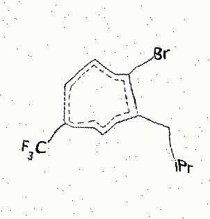 [CH2]C(C)Cc1cc(C(F)(F)F)ccc1Br